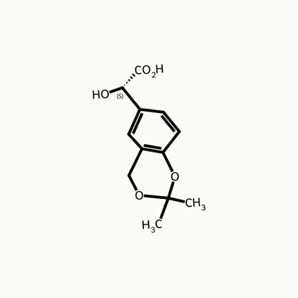 CC1(C)OCc2cc([C@H](O)C(=O)O)ccc2O1